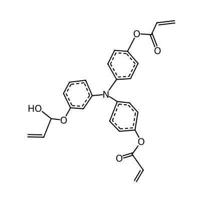 C=CC(=O)Oc1ccc(N(c2ccc(OC(=O)C=C)cc2)c2cccc(OC(O)C=C)c2)cc1